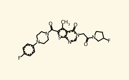 Cc1c(C(=O)N2CCN(c3ccc(F)cc3)CC2)sc2ncn(CC(=O)N3CCC(F)C3)c(=O)c12